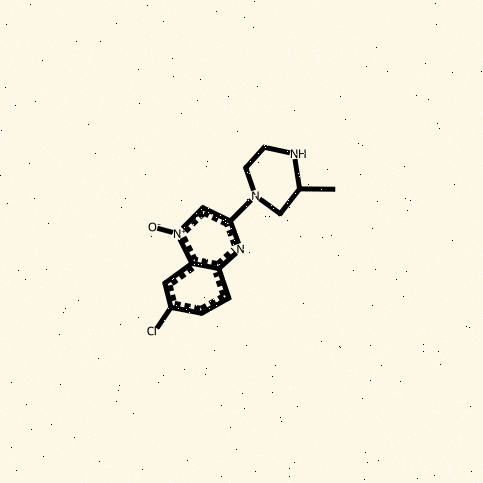 CC1CN(c2c[n+]([O-])c3cc(Cl)ccc3n2)CCN1